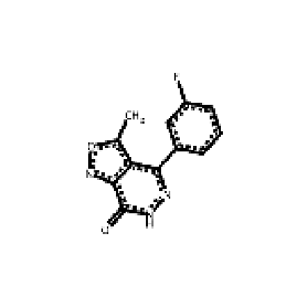 Cc1onc2c(=O)[nH]nc(-c3cccc(F)c3)c12